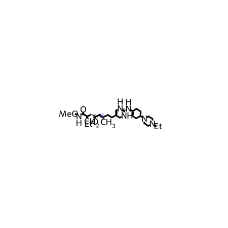 C=C(C[C@H](/C=C(\C)CCC1=CN[C@H](NC2=CCC(N3CCN(CC)CC3)CC2)NC1)OCC)C(=O)NOC